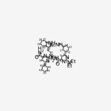 CCN(CC)c1nc(C(N)=O)cc(-c2cccc(NC(C)=O)c2)n1.CN(CCc1c[nH]c2ccccc12)c1nc(C(N)=O)cc(-c2ccccc2)n1